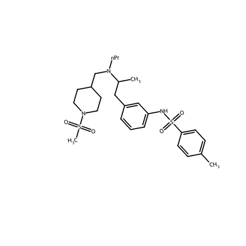 CCCN(CC1CCN(S(C)(=O)=O)CC1)C(C)Cc1cccc(NS(=O)(=O)c2ccc(C)cc2)c1